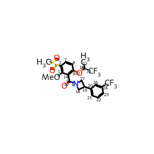 COc1c(S(C)(=O)=O)ccc(O[C@@H](C)C(F)(F)F)c1C(=O)N1CC(c2cccc(C(F)(F)F)c2)C1